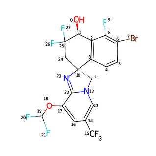 O[C@H]1c2c(ccc(Br)c2F)[C@]2(CN3C=C(C(F)(F)F)C=C(OC(F)F)C3=N2)CC1(F)F